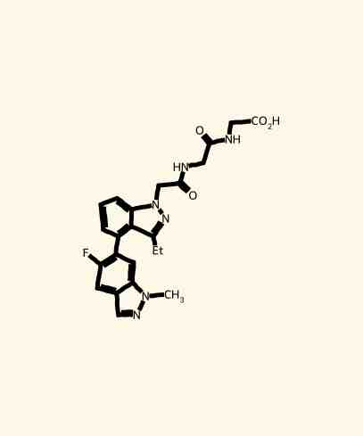 CCc1nn(CC(=O)NCC(=O)NCC(=O)O)c2cccc(-c3cc4c(cnn4C)cc3F)c12